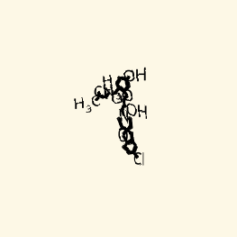 CC(C)CNC(=O)c1ccc(O)cc1OC[C@H](O)CN1CCC2(CC1)Cc1cc(Cl)ccc1O2